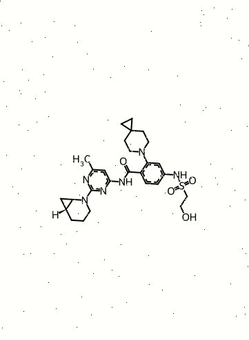 Cc1cc(NC(=O)c2ccc(NS(=O)(=O)CCO)cc2N2CCC3(CC2)CC3)nc(N2CCC[C@@H]3CC32)n1